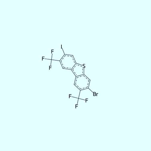 FC(F)(F)c1cc2c(cc1Br)sc1cc(I)c(C(F)(F)F)cc12